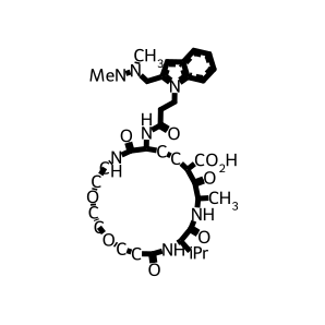 CNN(C)Cc1cc2ccccc2n1CCC(=O)NC1CCC(C(=O)O)C(=O)C(C)NC(=O)C(C(C)C)NC(=O)CCOCCOCCNC1=O